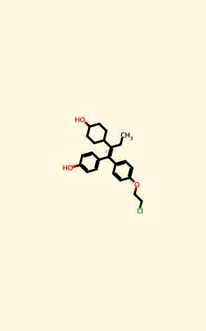 CC/C(=C(/c1ccc(O)cc1)c1ccc(OCCCl)cc1)C1CCC(O)CC1